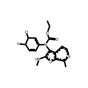 CCOC(=O)N(C1=CC(Cl)C(F)C=C1)c1c(NC)oc2c(C)nccc12